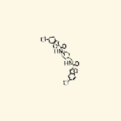 O=C(NCC1CCN(NC(=O)c2cc3ccc(Cl)cc3o2)CC1)c1cc2cc(Cl)ccc2o1